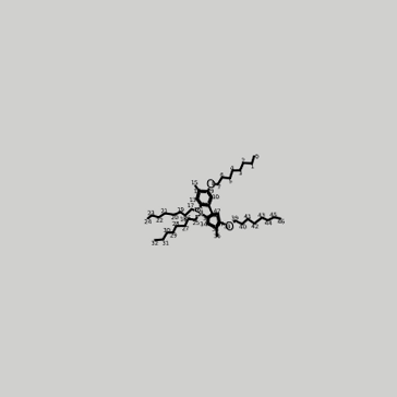 CCCCCCCCOc1cc2c(cc1C)[Si](CCCCCCCC)(CCCCCCCC)c1cc(C)c(OCCCCCCCC)cc1-2